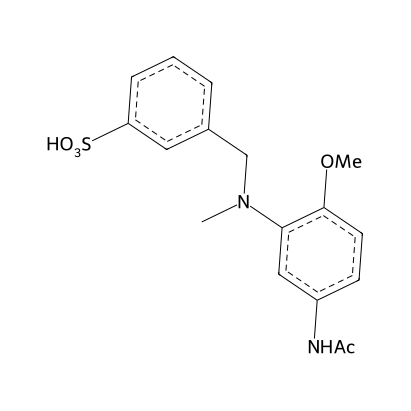 COc1ccc(NC(C)=O)cc1N(C)Cc1cccc(S(=O)(=O)O)c1